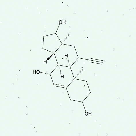 C#CC1C[C@]2(C)C(O)CC[C@H]2[C@@H]2C(O)C=C3CC(O)CC[C@]3(C)[C@H]12